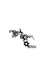 COc1ccc(Sc2nc(N)nc3c2ncn3CC(C)OCP(=O)(OC(C)C)OC(C)C)cc1